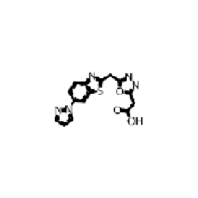 O=C(O)Cc1nnc(Cc2nc3ccc(-n4cccn4)cc3s2)o1